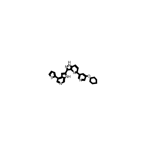 c1csc(-c2cncc3[nH]c(-c4n[nH]c5ccc(-c6cncc(OC7CCCCC7)c6)nc45)cc23)c1